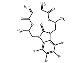 C=CC(=O)OC(C)Cn1c(=O)n(CC(C)OC(=O)C=C)c2c(Br)c(Br)c(Br)c(Br)c21